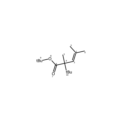 CC(C)=CC(C)(C(=O)OC(C)(C)C)C(C)(C)C